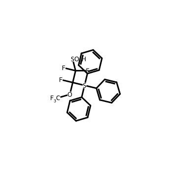 O=S(=O)(O)C(F)(F)C(F)(OC(F)(F)F)S(c1ccccc1)(c1ccccc1)c1ccccc1